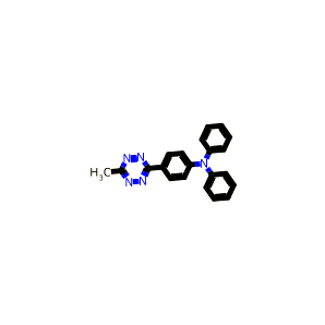 Cc1nnc(-c2ccc(N(c3ccccc3)c3ccccc3)cc2)nn1